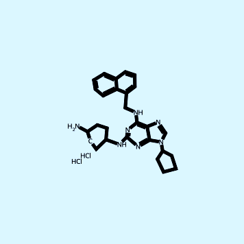 Cl.Cl.NC1CCC(Nc2nc(NCc3cccc4ccccc34)c3ncn(C4CCCC4)c3n2)CC1